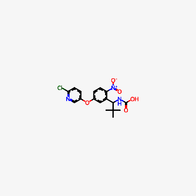 CC(C)(C)C(NC(=O)O)c1cc(Oc2ccc(Cl)nc2)ccc1[N+](=O)[O-]